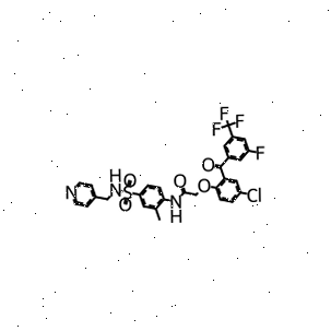 Cc1cc(S(=O)(=O)NCc2ccncc2)ccc1NC(=O)COc1ccc(Cl)cc1C(=O)c1cc(F)cc(C(F)(F)F)c1